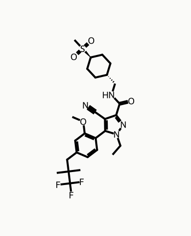 CCn1nc(C(=O)NC[C@H]2CC[C@H](S(C)(=O)=O)CC2)c(C#N)c1-c1ccc(CC(C)(C)C(F)(F)F)cc1OC